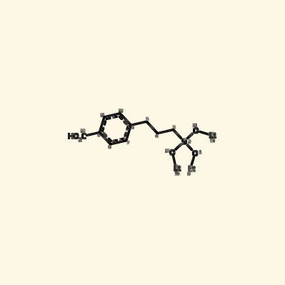 CCO[Si](CCCc1ccc(C(=O)O)cc1)(OCC)OCC